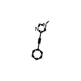 Cn1cnc(C#Cc2ccccc2)c1